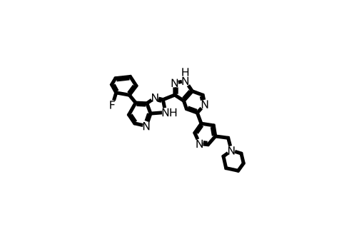 Fc1ccccc1-c1ccnc2[nH]c(-c3n[nH]c4cnc(-c5cncc(CN6CCCCC6)c5)cc34)nc12